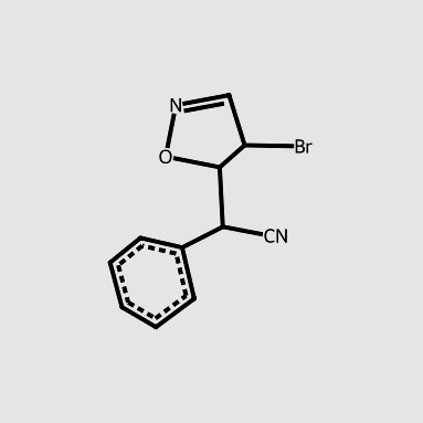 N#CC(c1ccccc1)C1ON=CC1Br